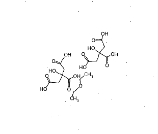 CCOCC.O=C(O)CC(O)(CC(=O)O)C(=O)O.O=C(O)CC(O)(CC(=O)O)C(=O)O